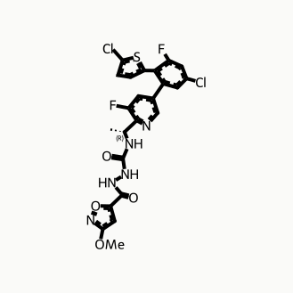 COc1cc(C(=O)NNC(=O)N[C@H](C)c2ncc(-c3cc(Cl)cc(F)c3-c3ccc(Cl)s3)cc2F)on1